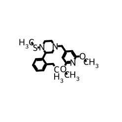 CCc1ccccc1C1CN(Cc2cc(OC)nc(OC)c2)CCN1SC